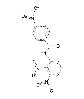 O=C(Nc1cccc([N+](=O)[O-])c1[N+](=O)[O-])c1ccc([N+](=O)[O-])cc1